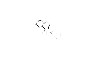 O=C(O)Oc1cnc2ccc(Br)cc2c1O